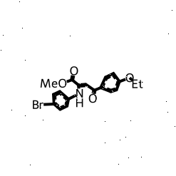 CCOc1ccc(C(=O)/C=C(\Nc2ccc(Br)cc2)C(=O)OC)cc1